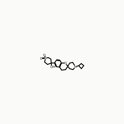 O=S1(=O)CCC(O)(c2ccc3c(c2)CCC2(CCN(C4CCC4)CC2)O3)CC1